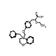 CCOC(Cc1ccc(OC[N+]2(Cc3ccccc3)CCOc3ccccc32)cc1)C(=O)O